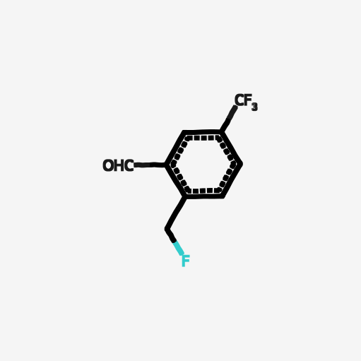 O=Cc1cc(C(F)(F)F)ccc1CF